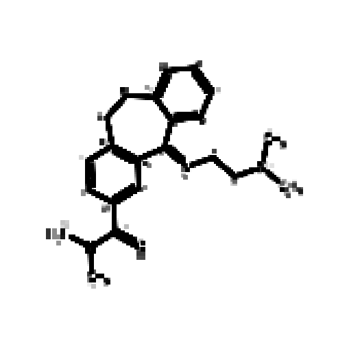 CN(C)CC/N=C1\c2ccccc2CCc2ccc(C(=O)N(C)C)cc21